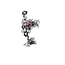 CC(C)(C)OC(=O)N[C@H](CC(=O)OCc1ccccc1)C(=O)N1CC(Oc2ccc(CCB3O[C@@H]4C[C@@H]5C[C@@H](C5(C)C)[C@]4(C)O3)c(OC(=O)OC(C)(C)C)c2C(=O)OC(C)(C)C)C1